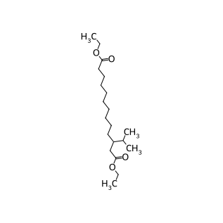 CCOC(=O)CCCCCCCCCC(CC(=O)OCC)C(C)C